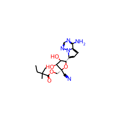 CCC(C)(C)C(=O)OC[C@@]1(C#N)O[C@@H](c2ccc3c(N)ncnn23)[C@H](O)[C@@H]1O